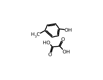 Cc1ccc(O)cc1.O=C(O)C(=O)O